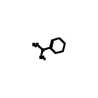 C[Si](C)C1=CCCCC1